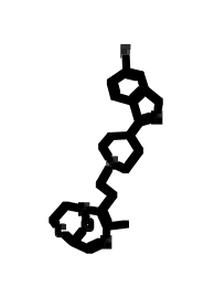 CC1=C(CCN2CCC(C3=NCc4cc(F)ccc43)CC2)N2CCCC(C=N1)O2